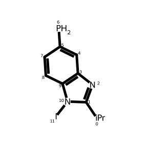 CC(C)c1nc2cc(P)ccc2n1I